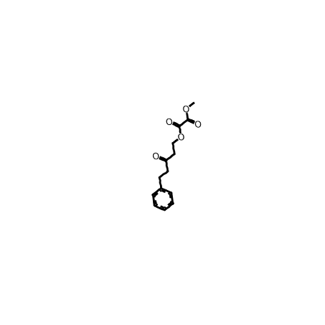 COC(=O)C(=O)OCCC(=O)CCc1ccccc1